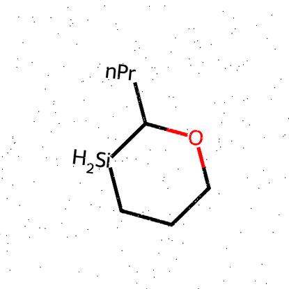 [CH2]CCC1OCCC[SiH2]1